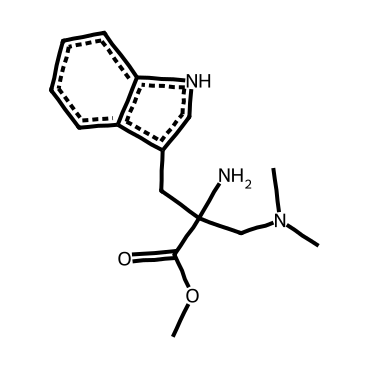 COC(=O)C(N)(Cc1c[nH]c2ccccc12)CN(C)C